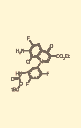 CCOC(=O)c1cn(-c2cc(NC(=O)OC(C)(C)C)c(F)cc2F)c2c(Cl)c(N)c(F)cc2c1=O